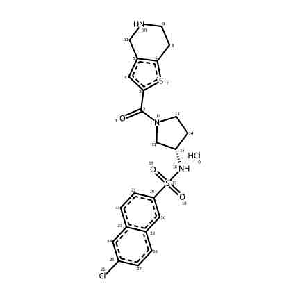 Cl.O=C(c1cc2c(s1)CCNC2)N1CC[C@H](NS(=O)(=O)c2ccc3cc(Cl)ccc3c2)C1